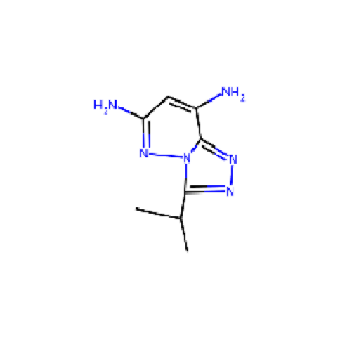 CC(C)c1nnc2c(N)cc(N)nn12